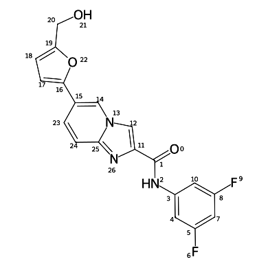 O=C(Nc1cc(F)cc(F)c1)c1cn2cc(-c3ccc(CO)o3)ccc2n1